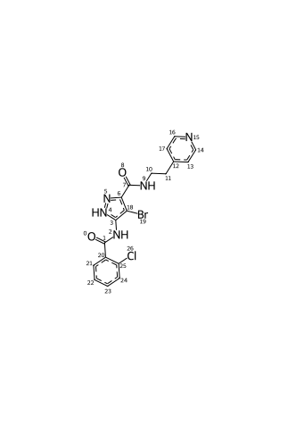 O=C(Nc1[nH]nc(C(=O)NCCc2ccncc2)c1Br)c1ccccc1Cl